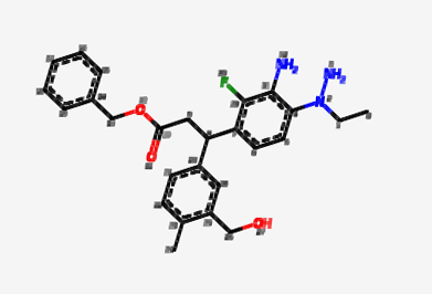 CCN(N)c1ccc(C(CC(=O)OCc2ccccc2)c2ccc(C)c(CO)c2)c(F)c1N